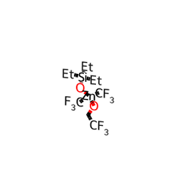 CC[Si](CC)(CC)[O][Zn]([O]CC(F)(F)F)([C](F)(F)F)[C](F)(F)F